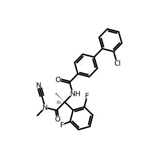 CN(C#N)C(=O)[C@@](C)(NC(=O)c1ccc(-c2ccccc2Cl)cc1)c1c(F)cccc1F